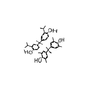 CC(C)c1cc(C(C)(C)c2ccc(O)c(C(C)C)c2)ccc1O.Cc1cc(C(C)(C)c2cc(C)c(O)c(C)c2)cc(C)c1O